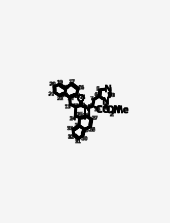 COCn1cncc1C[C@H](NC(=O)C(Cc1cccc2ccccc12)Cc1cccc2ccccc12)C(=O)O